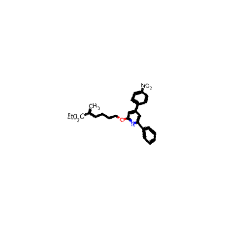 CCOC(=O)C(C)CCCCOc1cc(-c2ccc([N+](=O)[O-])cc2)cc(-c2ccccc2)n1